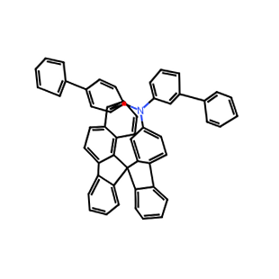 c1ccc(-c2ccc(N(c3cccc(-c4ccccc4)c3)c3ccc4c(c3)C3(c5ccccc5-4)c4ccccc4-c4ccc5ccccc5c43)cc2)cc1